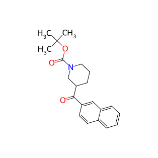 CC(C)(C)OC(=O)N1CCCC(C(=O)c2ccc3ccccc3c2)C1